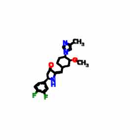 COC1CC(/C=C2/N[C@@H](c3ccc(F)c(F)c3)CC2=O)CCC1n1cnc(C)c1